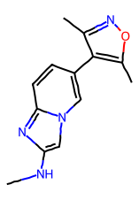 CNc1cn2cc(-c3c(C)noc3C)ccc2n1